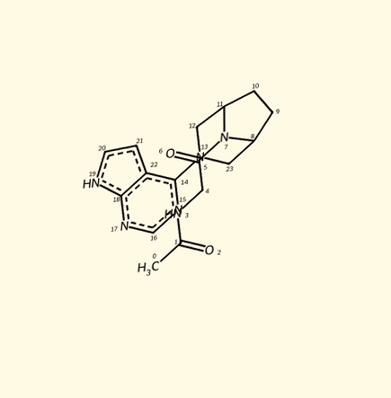 CC(=O)NCC(=O)N1C2CCC1CN(c1ncnc3[nH]ccc13)C2